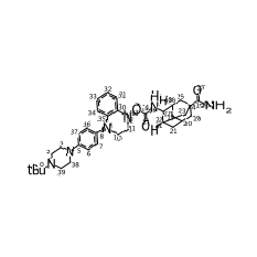 CC(C)(C)N1CCN(c2ccc(N3CCN(OC(=O)NC4[C@@H]5CC6C[C@H]4CC(C(N)=O)(C6)C5)c4ccccc43)cc2)CC1